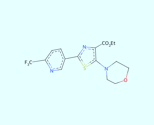 CCOC(=O)c1nc(-c2ccc(C(F)(F)F)nc2)sc1N1CCOCC1